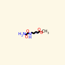 COC(=O)/C=C/CCNC(=O)C(N)=O